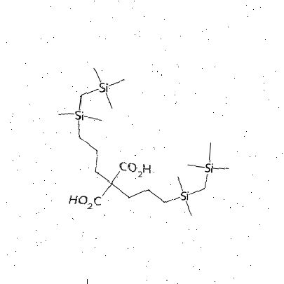 C[Si](C)(C)C[Si](C)(C)CCCC(CCC[Si](C)(C)C[Si](C)(C)C)(C(=O)O)C(=O)O